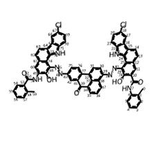 Cc1ccccc1NC(=O)c1cc2ccc3c4cc(Cl)ccc4[nH]c3c2c(N=Nc2ccc3c4c(cccc24)C(=O)c2cc(N=Nc4c(O)c(NC(=O)c5ccccc5C)cc5ccc6c7cc(Cl)ccc7[nH]c6c45)ccc2-3)c1O